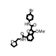 COc1c(C(=O)Nc2ccc(Br)cc2)oc2c(C(=O)NCC3CCCO3)cccc12